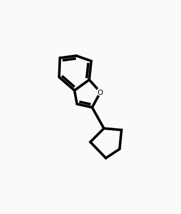 c1ccc2oc(C3CCCC3)cc2c1